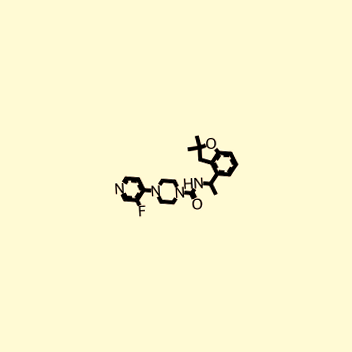 CC(NC(=O)N1CCN(c2ccncc2F)CC1)c1cccc2c1CC(C)(C)O2